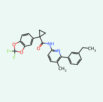 CCc1cccc(-c2nc(NC(=O)C3(c4ccc5c(c4)OC(F)(F)O5)CC3)ccc2C)c1